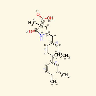 C=C/C=C\C(=C/C=C)C(=C)/C=C\C(=C/C=C)C[C@@H]1C[C@@](C)(C(=O)O)C(=O)N1